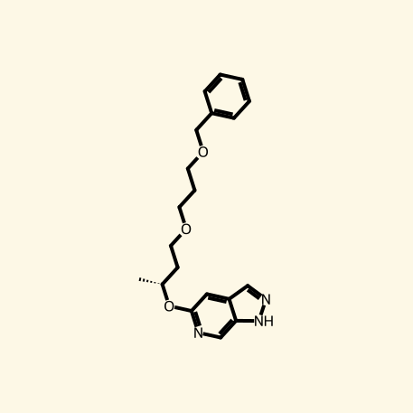 C[C@H](CCOCCCOCc1ccccc1)Oc1cc2cn[nH]c2cn1